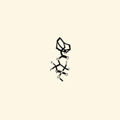 COS(=O)(=O)C(F)(F)C(OC(=O)C12CC3CC(C1)C(=O)C(C3)C2)C(F)(F)F